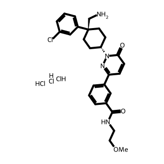 COCCNC(=O)c1cccc(-c2ccc(=O)n([C@H]3CC[C@@](CN)(c4cccc(Cl)c4)CC3)n2)c1.Cl.Cl.Cl